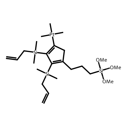 C=CC[Si](C)(C)C1=C(CCC[Si](OC)(OC)OC)C[C]([Pt]([CH3])([CH3])[CH3])=C1[Si](C)(C)CC=C